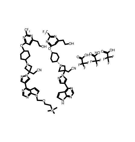 C[Si](C)(C)CCOCn1ccc2c(-c3cnn(C4(CC#N)CN(C5CCC(Oc6cc(CCO)nc(C(F)(F)F)n6)CC5)C4)c3)ncnc21.N#CCC1(n2cc(-c3ncnc4[nH]ccc34)cn2)CN([C@H]2CC[C@@H](Oc3cc(CCO)nc(C(F)(F)F)n3)CC2)C1.O=C(O)C(F)(F)F.O=C(O)C(F)(F)F.O=C(O)C(F)(F)F